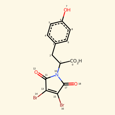 O=C(O)C(Cc1ccc(O)cc1)N1C(=O)C(Br)=C(Br)C1=O